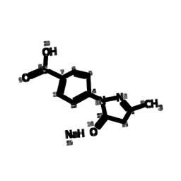 CC1=NN(c2ccc(S(=O)O)cc2)C(=O)C1.[NaH]